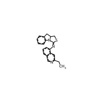 CCc1cc2c(N=C3SCC4Cc5ccccc5N34)cccc2cn1